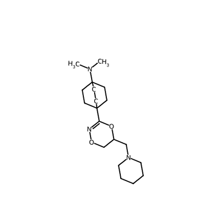 CN(C)C12CCC(C3=NOCC(CN4CCCCC4)O3)(CC1)CC2